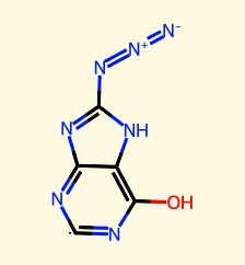 [N-]=[N+]=Nc1nc2n[c]nc(O)c2[nH]1